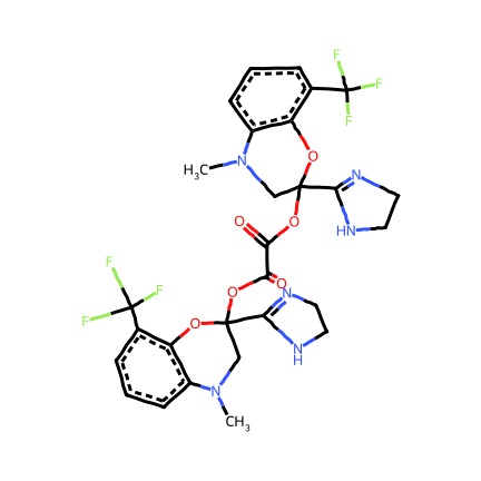 CN1CC(OC(=O)C(=O)OC2(C3=NCCN3)CN(C)c3cccc(C(F)(F)F)c3O2)(C2=NCCN2)Oc2c1cccc2C(F)(F)F